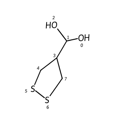 OC(O)C1CSSC1